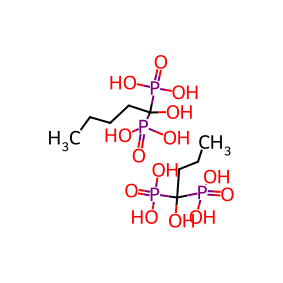 CCCC(O)(P(=O)(O)O)P(=O)(O)O.CCCCC(O)(P(=O)(O)O)P(=O)(O)O